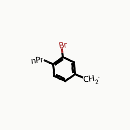 [CH2]c1ccc(CCC)c(Br)c1